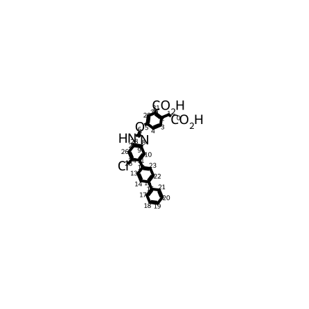 O=C(O)Cc1ccc(Oc2nc3cc(-c4ccc(-c5ccccc5)cc4)c(Cl)cc3[nH]2)cc1C(=O)O